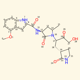 COc1cccc2[nH]c(C(=O)N[C@H]3CC(C)N(C(C[C@@H]4CCNC4=O)C(=O)CO)C3=O)cc12